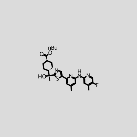 CCCCOC(=O)[C@H]1CC[C@H]([C@@](C)(O)c2ncc(-c3cc(C)cc(Nc4cc(C)c(F)cn4)n3)s2)CC1